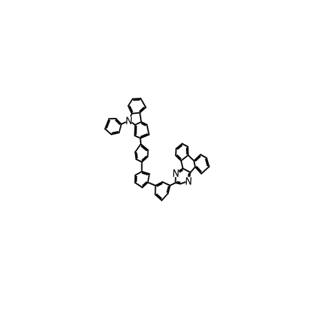 c1ccc(-n2c3ccccc3c3ccc(-c4ccc(-c5cccc(-c6cccc(-c7cnc8c9ccccc9c9ccccc9c8n7)c6)c5)cc4)cc32)cc1